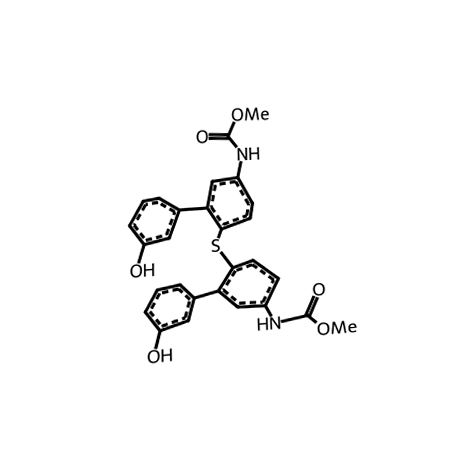 COC(=O)Nc1ccc(Sc2ccc(NC(=O)OC)cc2-c2cccc(O)c2)c(-c2cccc(O)c2)c1